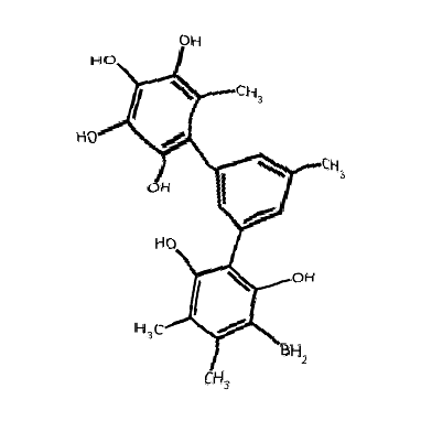 Bc1c(C)c(C)c(O)c(-c2cc(C)cc(-c3c(C)c(O)c(O)c(O)c3O)c2)c1O